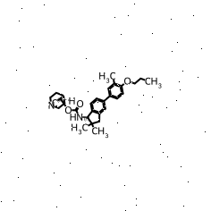 CCCOc1ccc(-c2ccc3c(c2)CC(C)(C)[C@H]3NC(=O)O[C@H]2CN3CCC2CC3)cc1C